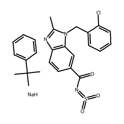 CC(C)(C)c1ccccc1.Cc1nc2ccc(C(=O)N=S(=O)=O)cc2n1Cc1ccccc1Cl.[NaH]